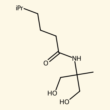 CC(C)CCCC(=O)NC(C)(CO)CO